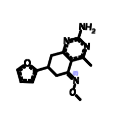 CO/N=C1\CC(c2ccco2)Cc2nc(N)nc(C)c21